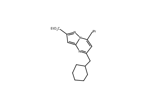 CCOC(=O)c1cc2nc(CC3CCCCC3)cc(C(C)C)n2n1